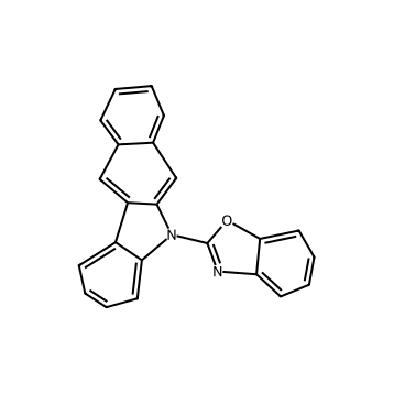 c1ccc2cc3c(cc2c1)c1ccccc1n3-c1nc2ccccc2o1